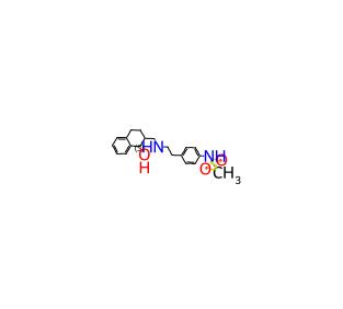 CS(=O)(=O)Nc1ccc(CCNCC2CCc3ccccc3[C@H]2O)cc1